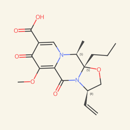 C=C[C@@H]1CO[C@@]2(CCC)[C@H](C)n3cc(C(=O)O)c(=O)c(OC)c3C(=O)N12